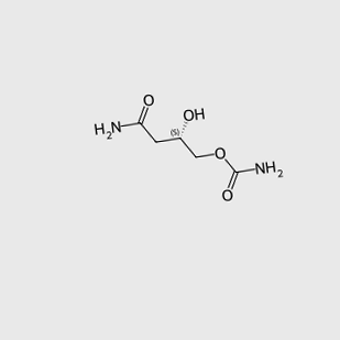 NC(=O)C[C@H](O)COC(N)=O